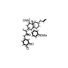 C=CCN1CC[C@@]2(c3cccc(OC)c3)C[C@@H](N(C)C(=O)Cc3ccc(Cl)c(Cl)c3)CC(OC)[C@@H]2C1